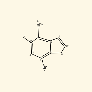 CCCc1c(C)cc(Br)c2c1C=CC2